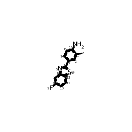 Cc1cc(-c2nc3cc(F)ccc3[se]2)ccc1N